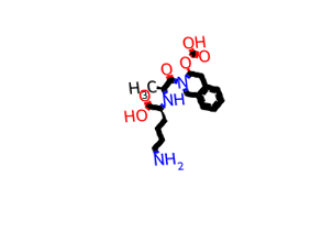 C[C@H](N[C@@H](CCCCN)C(=O)O)C(=O)N1Cc2ccccc2C[C@@H]1OC(=O)O